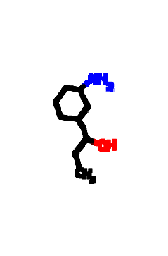 CCC(O)C1CCCC(N)C1